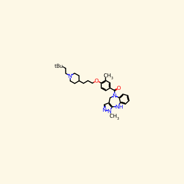 Cc1cc(C(=O)N2Cc3cnn(C)c3Nc3ccccc32)ccc1OCCCC1CCN(CCC(C)(C)C)CC1